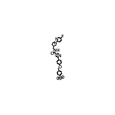 CS(=O)(=O)c1ccc(COc2ccc(-c3cn(C(=O)NCC4CCN(c5ccc(F)cn5)C4)cn3)cc2)cc1